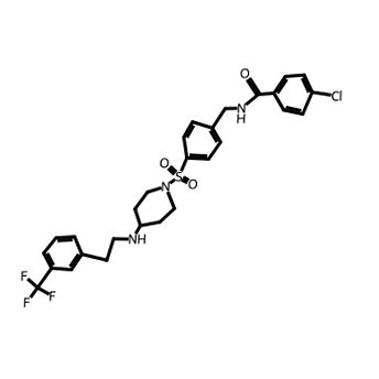 O=C(NCc1ccc(S(=O)(=O)N2CCC(NCCc3cccc(C(F)(F)F)c3)CC2)cc1)c1ccc(Cl)cc1